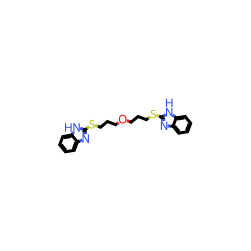 c1ccc2[nH]c(SCCCOCCCSc3nc4ccccc4[nH]3)nc2c1